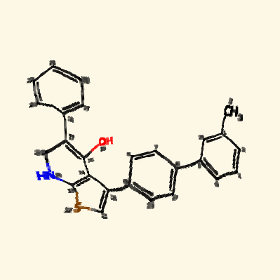 Cc1cccc(-c2ccc(-c3csc4c3C(O)=C(c3ccccc3)CN4)cc2)c1